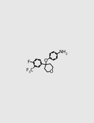 Nc1ccc(OC2(c3ccc(F)c(C(F)(F)F)c3)CCOCC2)cc1